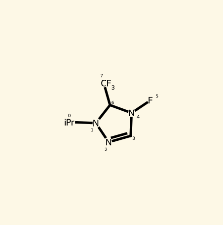 CC(C)N1N=CN(F)C1C(F)(F)F